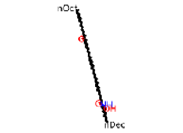 CCCCCCCCC=CCCCCCCCCCCCC(=O)CCCCCCCCCCCCCCCCCCCCCCCCCCCCCC(=O)NCC(O)CCCCCCCCCCCCCCCC